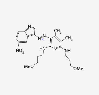 COCCCNc1nc(NCCCOC)c(/N=N/c2snc3ccc([N+](=O)[O-])cc23)c(C)c1C